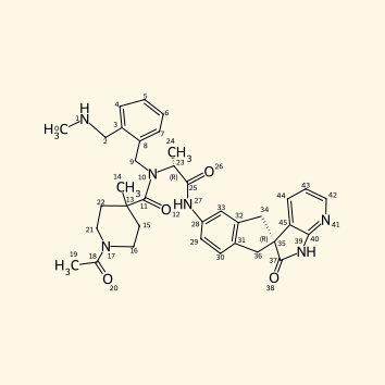 CNCc1ccccc1CN(C(=O)C1(C)CCN(C(C)=O)CC1)[C@H](C)C(=O)Nc1ccc2c(c1)C[C@@]1(C2)C(=O)Nc2ncccc21